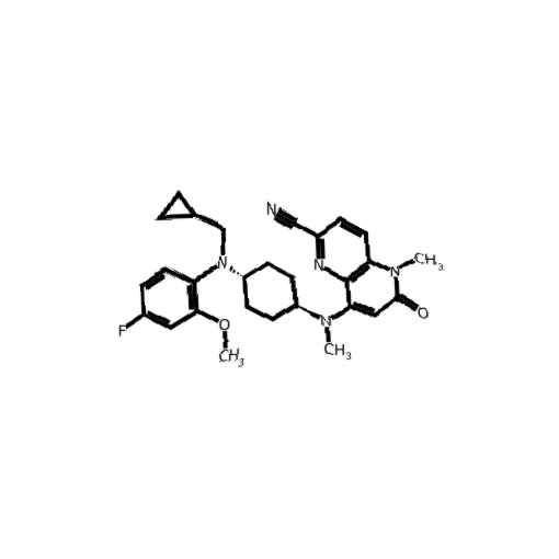 COc1cc(F)ccc1N(CC1CC1)[C@H]1CC[C@H](N(C)c2cc(=O)n(C)c3ccc(C#N)nc23)CC1